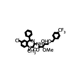 CO[C@@H](C(=O)NC1N=C(c2ccccc2)c2cc(Cl)ccc2N(C)C1=O)[C@@H](O)COCc1ccc(C(F)(F)F)cc1